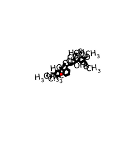 C#CC(O)(c1cccc(CN(C)C)c1)c1c(C)cccc1CC#CC(O)(c1cc(COC)c(OC)c(OC)c1OC)C(Cl)(Cl)Cl